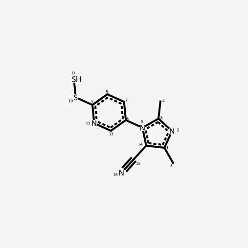 Cc1nc(C)n(-c2ccc(SS)nc2)c1C#N